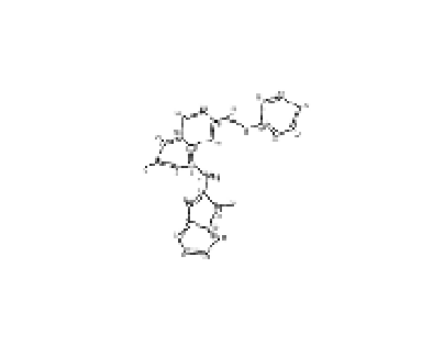 Cc1cc(Nc2nc3ccccc3n2C)c2cc(OCc3ccccc3)ccc2n1